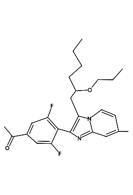 CCCCC(Cc1c(-c2c(F)cc(C(C)=O)cc2F)nc2cc(C)ccn12)OCCC